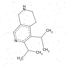 CC(C)c1ncc2c(c1C(C)C)CCNC2